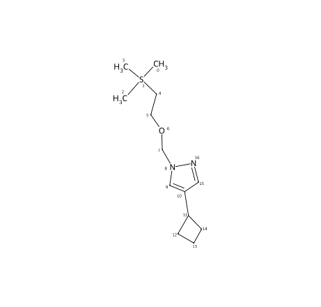 CS(C)(C)CCOCn1cc(C2CCC2)cn1